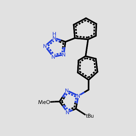 COc1nc(C(C)(C)C)n(Cc2ccc(-c3ccccc3-c3nnn[nH]3)cc2)n1